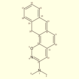 CN(C)C1=NOc2c3c(ccc2=C1)=Cc1ccccc1C3